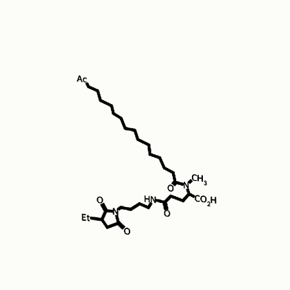 CCC1CC(=O)N(CCCCNC(=O)CCC(C(=O)O)N(C)C(=O)CCCCCCCCCCCCCCC(C)=O)C1=O